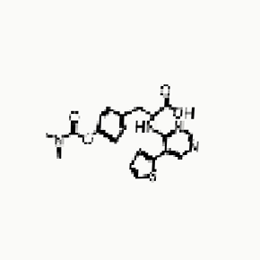 CN(C)C(=O)Oc1ccc(C[C@H](Nc2ncncc2-c2cccs2)C(=O)O)cc1